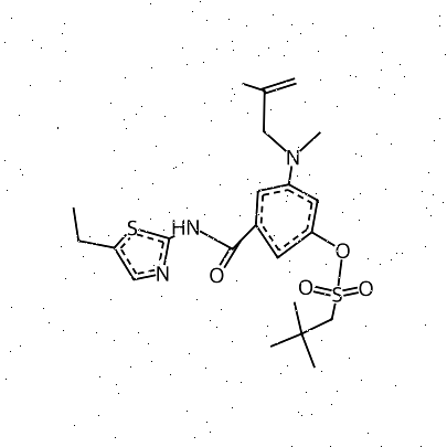 C=C(C)CN(C)c1cc(OS(=O)(=O)CC(C)(C)C)cc(C(=O)Nc2ncc(CC)s2)c1